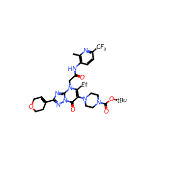 CCc1c(N2CCN(C(=O)OC(C)(C)C)CC2)c(=O)n2nc(C3=CCOCC3)nc2n1CC(=O)Nc1ccc(C(F)(F)F)nc1C